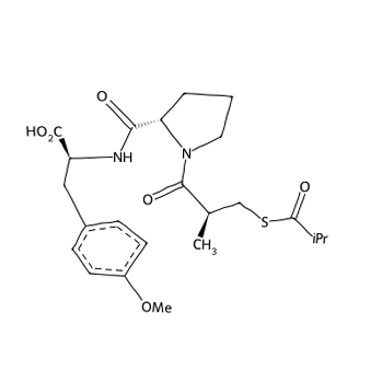 COc1ccc(C[C@H](NC(=O)[C@@H]2CCCN2C(=O)[C@H](C)CSC(=O)C(C)C)C(=O)O)cc1